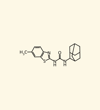 Cc1ccc2nc(NC(=O)NC3C4CC5CC(C4)CC3C5)sc2c1